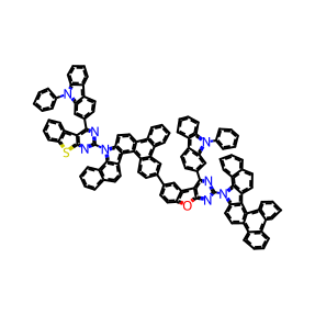 c1ccc(-n2c3ccccc3c3ccc(-c4nc(-n5c6ccc7c8ccccc8c8ccccc8c7c6c6ccc7ccccc7c65)nc5oc6ccc(-c7ccc8c(c7)c7ccccc7c7ccc9c(c%10ccc%11ccccc%11c%10n9-c9nc(-c%10ccc%11c%12ccccc%12n(-c%12ccccc%12)c%11c%10)c%10c(n9)sc9ccccc9%10)c78)cc6c45)cc32)cc1